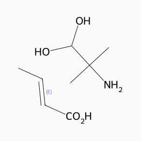 C/C=C/C(=O)O.CC(C)(N)C(O)O